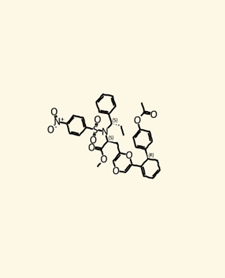 CC[C@@H](c1ccccc1)N([C@@H](CC1=COC=C(C2=CC=CC[C@@H]2c2ccc(OC(C)=O)cc2)O1)C(=O)OC)S(=O)(=O)c1ccc([N+](=O)[O-])cc1